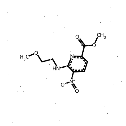 COCCNc1nc(C(=O)OC)ccc1[N+](=O)[O-]